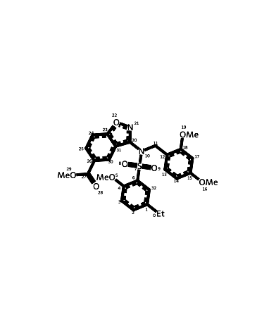 CCc1ccc(OC)c(S(=O)(=O)N(Cc2ccc(OC)cc2OC)c2noc3ccc(C(=O)OC)cc23)c1